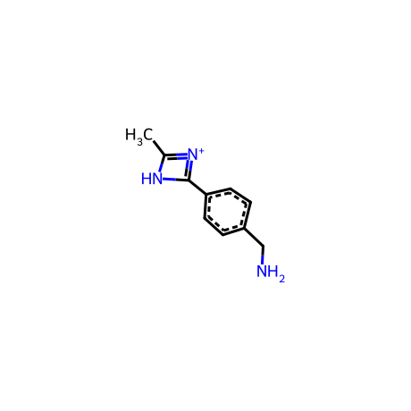 CC1=[N+]=C(c2ccc(CN)cc2)N1